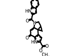 COC(=O)c1cc2c([nH]1)C(=O)C=C1N(C(=O)c3cc4ccccc4[nH]3)CC3CC123